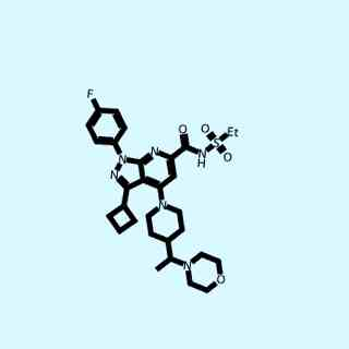 CCS(=O)(=O)NC(=O)c1cc(N2CCC(C(C)N3CCOCC3)CC2)c2c(C3CCC3)nn(-c3ccc(F)cc3)c2n1